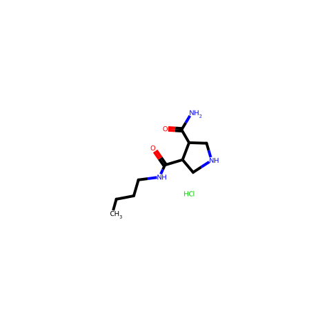 CCCCNC(=O)C1CNCC1C(N)=O.Cl